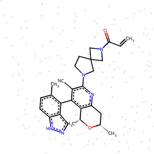 C=CC(=O)N1CC2(CCN(c3nc4c(c(-c5c(C)ccc6[nH]ncc56)c3C#N)[C@@H](C)O[C@@H](C)C4)C2)C1